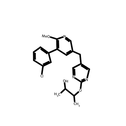 COc1ncc(Cc2cnc(OC(C)C(C)O)nc2)cc1-c1cccc(Cl)c1